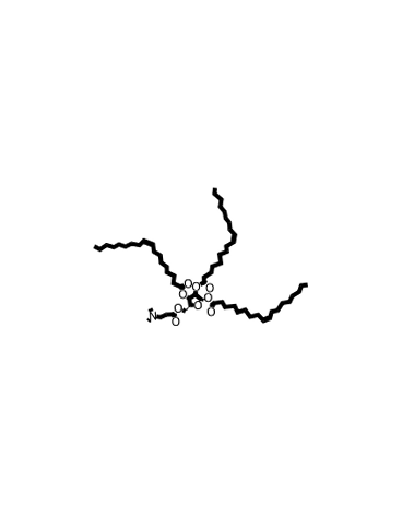 CCCCCCCC/C=C\CCCCCCCC(=O)OC1C(OC(=O)CCCCCCC/C=C\CCCCCCCC)[C@@H](COC(=O)CCN(C)C)O[C@H]1OC(=O)CCCCCCC/C=C\CCCCCCCC